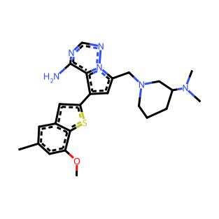 COc1cc(C)cc2cc(-c3cc(CN4CCCC(N(C)C)C4)n4ncnc(N)c34)sc12